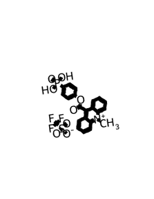 C[n+]1c2ccccc2c(C(=O)Oc2ccc(P(=O)(O)O)cc2)c2ccccc21.O=S(=O)([O-])C(F)(F)F